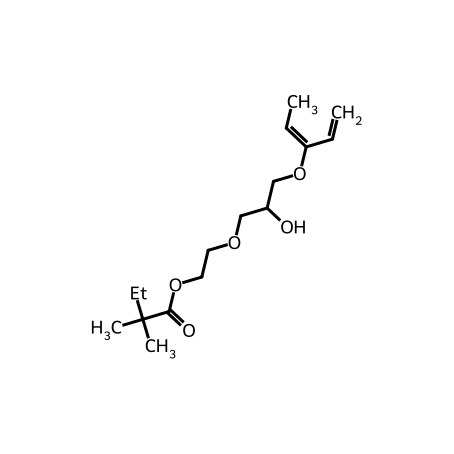 C=CC(=CC)OCC(O)COCCOC(=O)C(C)(C)CC